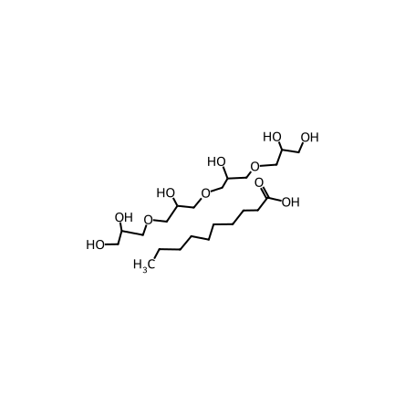 CCCCCCCCCC(=O)O.OCC(O)COCC(O)COCC(O)COCC(O)CO